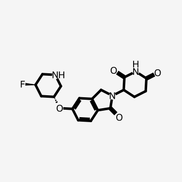 O=C1CCC(N2Cc3cc(O[C@H]4CNC[C@H](F)C4)ccc3C2=O)C(=O)N1